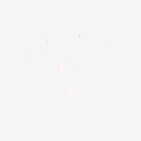 Cc1cc(C(CC(c2ccc(CC(=O)O)cc2)c2ccccc2C)=NO)ccn1